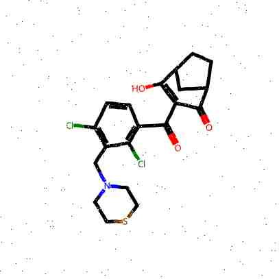 O=C(C1=C(O)C2CCC(C2)C1=O)c1ccc(Cl)c(CN2CCSCC2)c1Cl